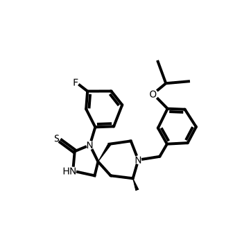 CC(C)Oc1cccc(CN2CC[C@]3(CNC(=S)N3c3cccc(F)c3)C[C@@H]2C)c1